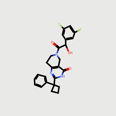 O=C(C(O)c1cc(F)cc(F)c1)N1CCc2nc(C3(c4ccccc4)CCC3)[nH]c(=O)c2C1